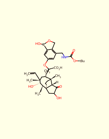 C=C[C@]1(C)C[C@@H](C(Oc2cc(CNC(=O)OC(C)(C)C)c3c(c2)B(O)OC3)C(=O)O)[C@@]2(C)[C@H](C)CC[C@]3(CC(O)C(=O)[C@H]32)[C@@H](C)[C@@H]1O